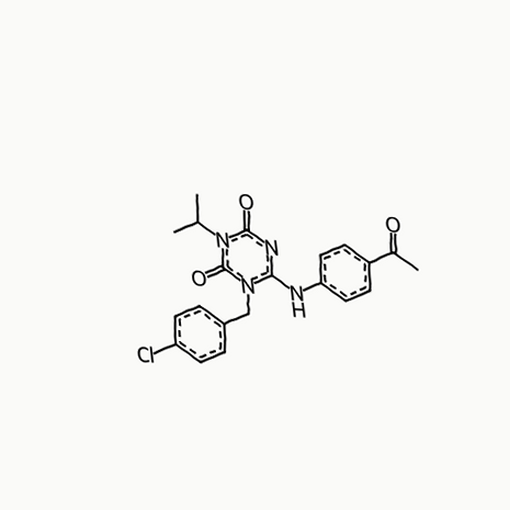 CC(=O)c1ccc(Nc2nc(=O)n(C(C)C)c(=O)n2Cc2ccc(Cl)cc2)cc1